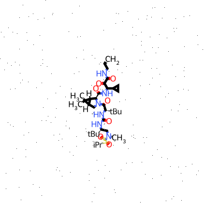 C=CCNC(=O)C(=O)C(NC(=O)[C@@H]1[C@@H]2[C@H](CN1C(=O)[C@@H](NC(=O)N[C@H](CN(C)S(=O)(=O)C(C)C)C(C)(C)C)C(C)(C)C)C2(C)C)C1CC1